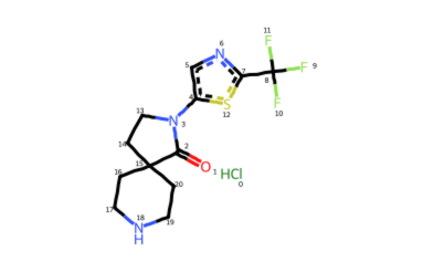 Cl.O=C1N(c2cnc(C(F)(F)F)s2)CCC12CCNCC2